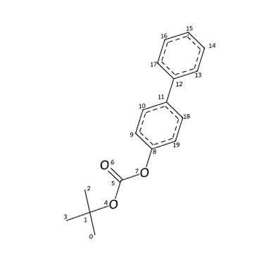 CC(C)(C)OC(=O)Oc1ccc(-c2cc[c]cc2)cc1